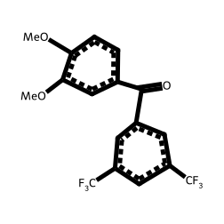 COc1ccc(C(=O)c2cc(C(F)(F)F)cc(C(F)(F)F)c2)cc1OC